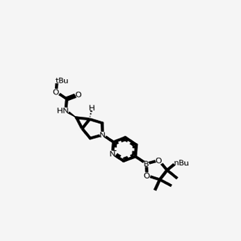 CCCCC1(C)OB(c2ccc(N3CC4[C@@H](NC(=O)OC(C)(C)C)[C@H]4C3)nc2)OC1(C)C